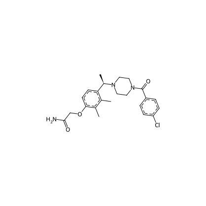 Cc1c(OCC(N)=O)ccc([C@@H](C)N2CCN(C(=O)c3ccc(Cl)cc3)CC2)c1C